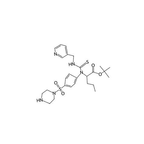 CCCC(C(=O)OC(C)(C)C)N(C(=S)NCc1cccnc1)c1ccc(S(=O)(=O)N2CCNCC2)cc1